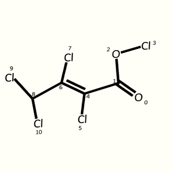 O=C(OCl)C(Cl)=C(Cl)C(Cl)Cl